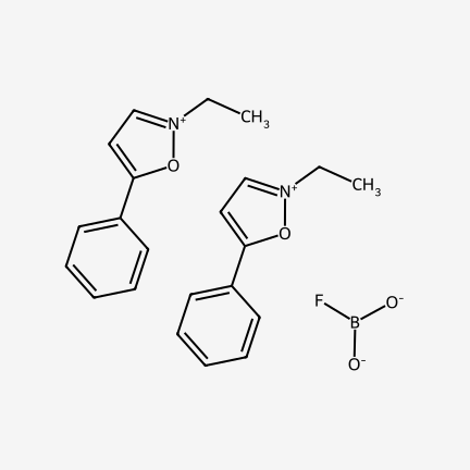 CC[n+]1ccc(-c2ccccc2)o1.CC[n+]1ccc(-c2ccccc2)o1.[O-]B([O-])F